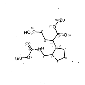 CC(C)(C)OC(=O)NCC1CCCN1C(CCC(=O)O)C(=O)OC(C)(C)C